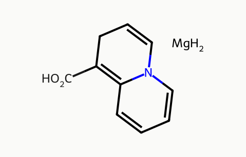 O=C(O)C1=C2C=CC=CN2C=CC1.[MgH2]